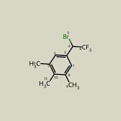 Cc1cc(C(Br)C(F)(F)F)cc(C)c1C